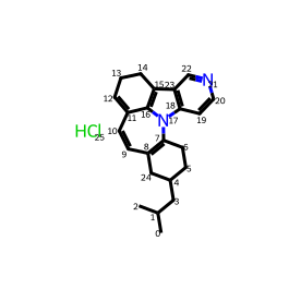 CC(C)CC1CCC2=C(C=CC3=CCCc4c3n2c2ccncc42)C1.Cl